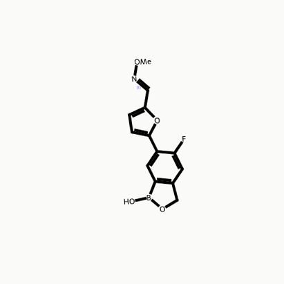 CO/N=C/c1ccc(-c2cc3c(cc2F)COB3O)o1